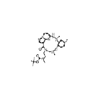 C[C@@H]1Nc2ccn3ncc(c3n2)C(=O)N(CCN(C)C(=O)OC(C)(C)C)C[C@H](C)Oc2ccc(F)cc21